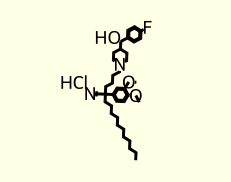 CCCCCCCCCCCC(C#N)(CCCCN1CCC(C(O)c2ccc(F)cc2)CC1)c1ccc(OC)c(OC)c1.Cl